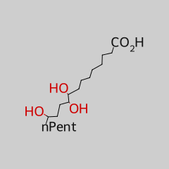 CCCCCC(O)CCC(O)C(O)CCCCCCCC(=O)O